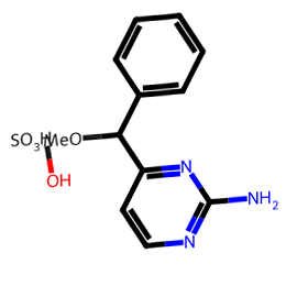 COC(c1ccccc1)c1ccnc(N)n1.O=S(=O)(O)O